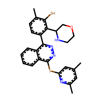 Cc1cc(C)nc(Sc2nnc(-c3ccc(C)c(S)c3C3COCCN3)c3ccccc23)c1